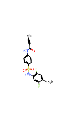 CC(C)(C)C#CC(=O)Nc1ccc(S(=O)(=O)Nc2cc(F)c(C(=O)O)cc2F)cc1